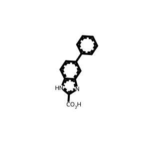 O=C(O)c1nc2cc(-c3ccccc3)ccc2[nH]1